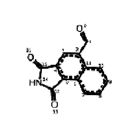 O=Cc1cc2c(c3ccccc13)C(=O)NC2=O